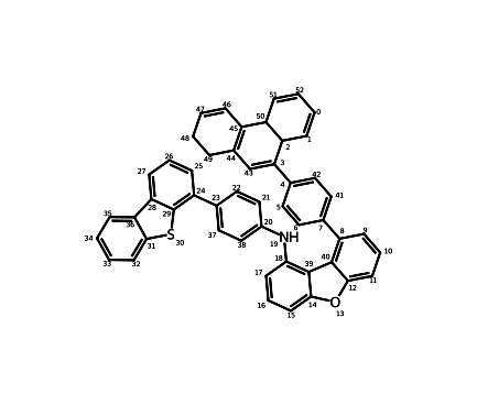 C1=CC2C(c3ccc(-c4cccc5oc6cccc(Nc7ccc(-c8cccc9c8sc8ccccc89)cc7)c6c45)cc3)=CC3=C(C=CCC3)C2C=C1